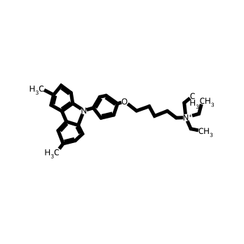 CC[N+](CC)(CC)CCCCCOc1ccc(-n2c3ccc(C)cc3c3cc(C)ccc32)cc1